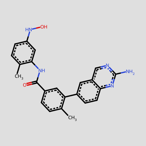 Cc1ccc(NO)cc1NC(=O)c1ccc(C)c(-c2ccc3nc(N)ncc3c2)c1